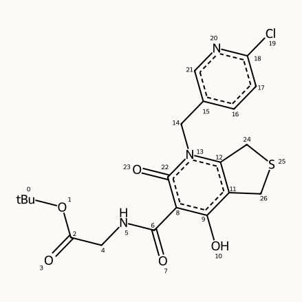 CC(C)(C)OC(=O)CNC(=O)c1c(O)c2c(n(Cc3ccc(Cl)nc3)c1=O)CSC2